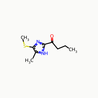 CCCC(=O)c1nc(SC)c(C)[nH]1